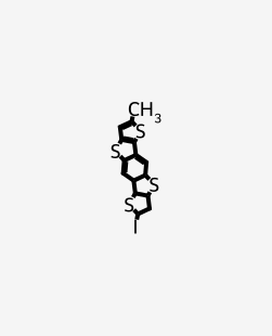 Cc1cc2sc3c(c2s1)=CC1SC2CC(I)SC2C1C=3